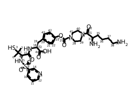 CC(C)(S)[C@H](NS(=O)(=O)c1cccnc1)C(=O)N[C@@H](Cc1ccc(OC(=O)N2CCN(C(=O)C(N)CCCCN)CC2)cc1)C(=O)O